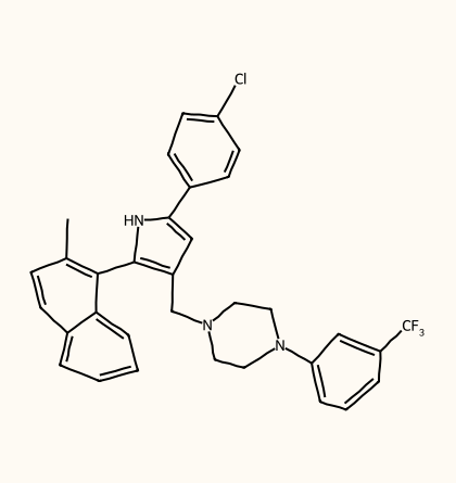 Cc1ccc2ccccc2c1-c1[nH]c(-c2ccc(Cl)cc2)cc1CN1CCN(c2cccc(C(F)(F)F)c2)CC1